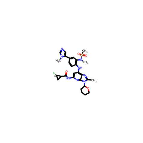 Cc1nc2c(Nc3ccc(-c4cncn4C)cc3N(C)S(C)(=O)=O)cc(NC(=O)C3C[C@@H]3F)nc2n1C1CCCCO1